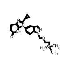 C[Si](C)(C)CCOCn1ncc2cc(-n3c(C4CC4)nc4ccc(=O)[nH]c43)ccc21